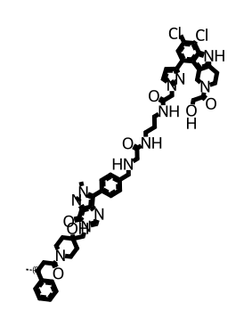 C[C@H](CC(=O)N1CCC(O)(Cn2cnc3c(-c4ccc(CNCC(=O)NCCCNC(=O)Cn5ccc(-c6cc(Cl)c(Cl)c7[nH]c8c(c67)CN(C(=O)CO)CC8)n5)cc4)n(C)nc3c2=O)CC1)c1ccccc1